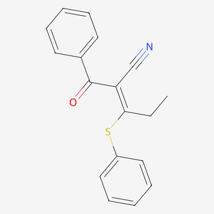 CC/C(Sc1ccccc1)=C(\C#N)C(=O)c1ccccc1